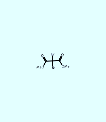 COC(=O)C(Br)(Br)C(=O)OC